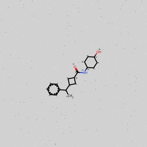 CC(c1ccccc1)C1CC(C(=O)NC2CCC(O)CC2)C1